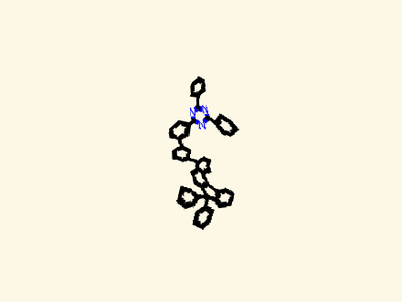 c1ccc(-c2nc(-c3ccccc3)nc(-c3cccc(-c4cccc(-c5cccc6c7c(ccc56)C(c5ccccc5)(c5ccccc5)c5ccccc5-7)c4)c3)n2)cc1